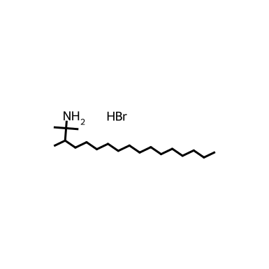 Br.CCCCCCCCCCCCCCC(C)C(C)(C)N